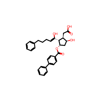 O=C(O)C[C@@H]1[C@@H](C(O)=CCCCc2ccccc2)[C@@H](OC(=O)c2ccc(-c3ccccc3)cc2)C[C@@H]1O